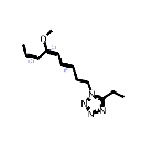 C\C=C/C(=C\C=C\CCn1nnnc1CC)OC